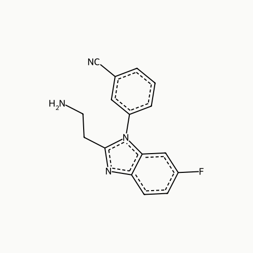 N#Cc1cccc(-n2c(CCN)nc3ccc(F)cc32)c1